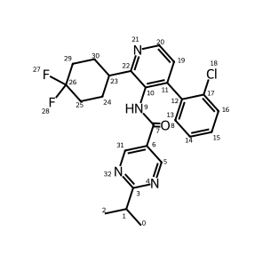 CC(C)c1ncc(C(=O)Nc2c(-c3ccccc3Cl)ccnc2C2CCC(F)(F)CC2)cn1